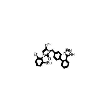 CCCc1cn(-c2c(CC)cccc2C(C)(C)C)c(=O)n1Cc1ccc(-c2ccccc2-c2nnn[nH]2)cc1